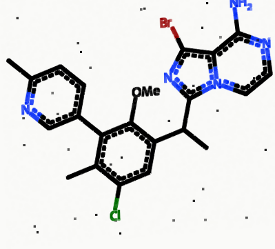 COc1c(C(C)c2nc(Br)c3c(N)nccn23)cc(Cl)c(C)c1-c1ccc(C)nc1